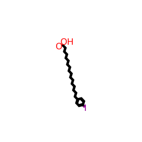 O=C(O)CCCCCCCCCCCCCCCCc1ccc(I)cc1